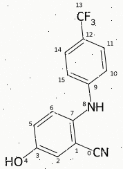 N#Cc1cc(O)ccc1Nc1ccc(C(F)(F)F)cc1